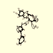 Cc1c(SCc2cc(-c3ccccc3)on2)n(Cc2ccccc2)c(=O)[nH]c1=O